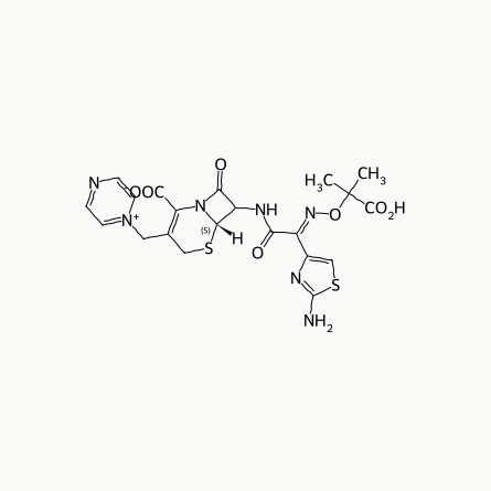 CC(C)(ON=C(C(=O)NC1C(=O)N2C(C(=O)[O-])=C(C[n+]3ccncc3)CS[C@@H]12)c1csc(N)n1)C(=O)O